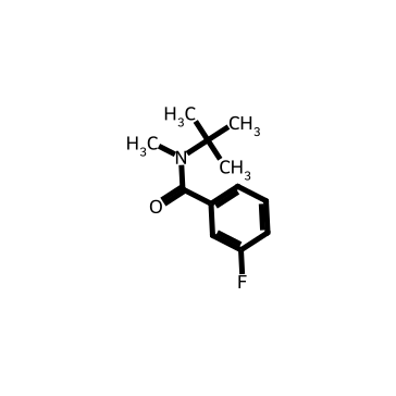 CN(C(=O)c1cccc(F)c1)C(C)(C)C